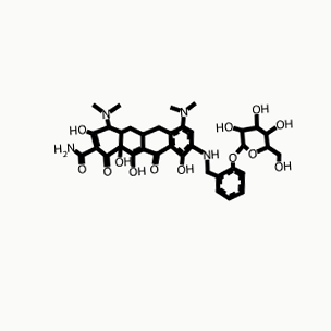 CN(C)c1cc(NCc2ccccc2OC2OC(CO)C(O)C(O)C2O)c(O)c2c1CC1CC3C(N(C)C)C(O)=C(C(N)=O)C(=O)C3(O)C(O)=C1C2=O